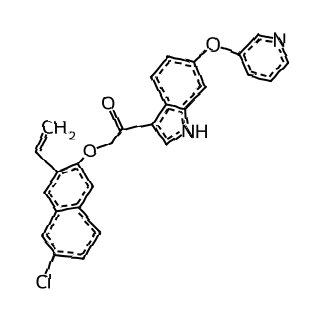 C=Cc1cc2cc(Cl)ccc2cc1OCC(=O)c1c[nH]c2cc(Oc3cccnc3)ccc12